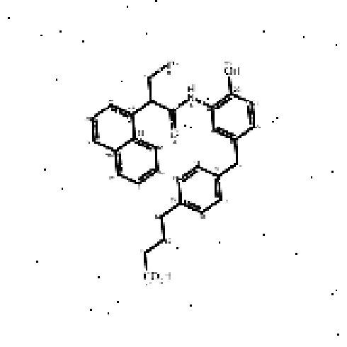 CC(C)CC(C(=O)Nc1cc(Cc2ccc(CCCC(=O)O)cc2)ccc1O)c1cccc2ccccc12